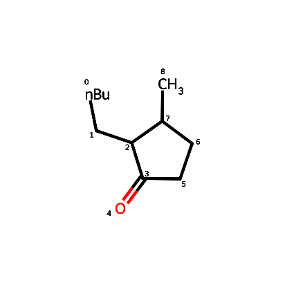 CCCCCC1C(=O)CCC1C